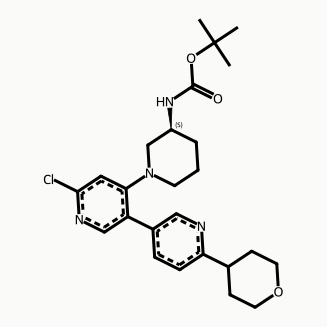 CC(C)(C)OC(=O)N[C@H]1CCCN(c2cc(Cl)ncc2-c2ccc(C3CCOCC3)nc2)C1